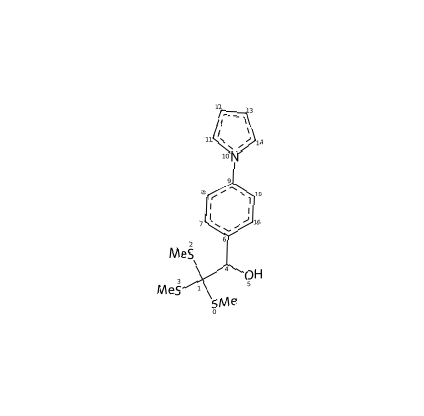 CSC(SC)(SC)C(O)c1ccc(-n2cccc2)cc1